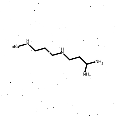 CCCCNCCCNCCC(N)N